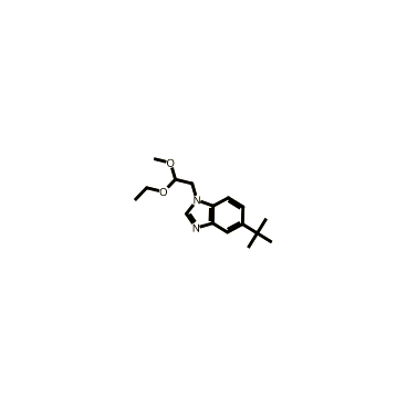 CCOC(Cn1cnc2cc(C(C)(C)C)ccc21)OC